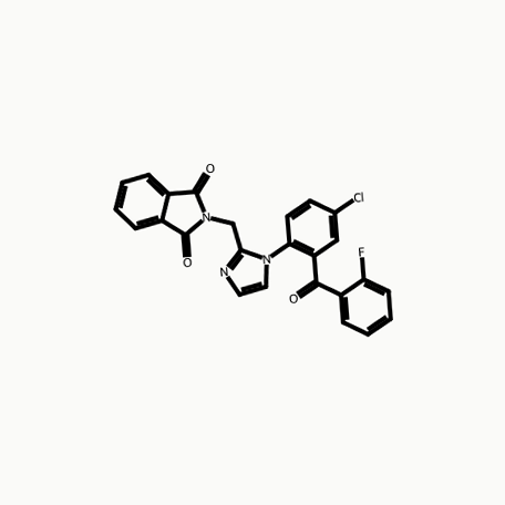 O=C(c1ccccc1F)c1cc(Cl)ccc1-n1ccnc1CN1C(=O)c2ccccc2C1=O